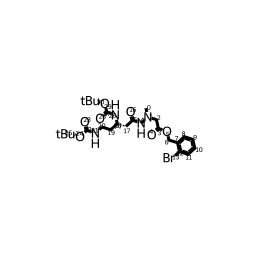 CN(CC(=O)OCc1ccccc1Br)NC(=O)C[C@H](CCNC(=O)OC(C)(C)C)NC(=O)OC(C)(C)C